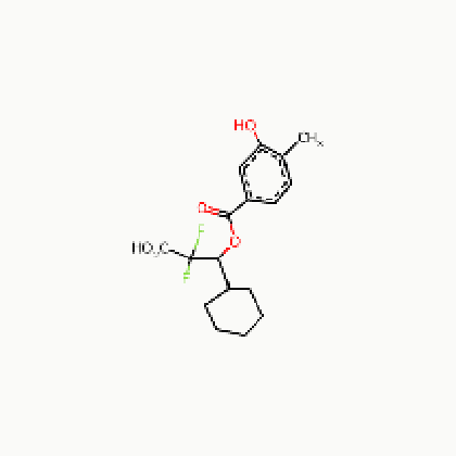 Cc1ccc(C(=O)OC(C2CCCCC2)C(F)(F)C(=O)O)cc1O